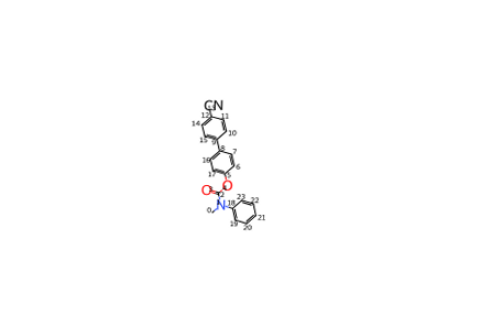 CN(C(=O)Oc1ccc(-c2ccc(C#N)cc2)cc1)c1ccccc1